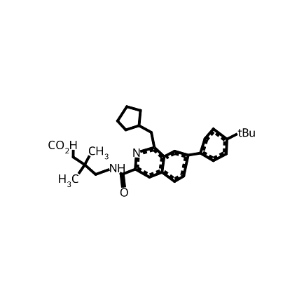 CC(C)(CNC(=O)c1cc2ccc(-c3ccc(C(C)(C)C)cc3)cc2c(CC2CCCC2)n1)CC(=O)O